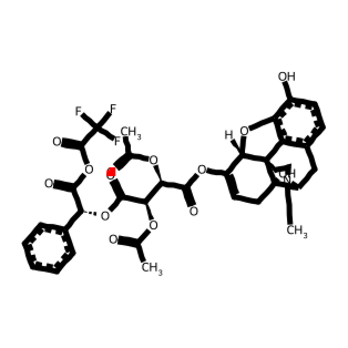 CC(=O)O[C@@H](C(=O)OC1=CC[C@@]2(O)C3Cc4ccc(O)c5c4[C@@]2(CCN3C)[C@H]1O5)[C@@H](OC(C)=O)C(=O)O[C@@H](C(=O)OC(=O)C(F)(F)F)c1ccccc1